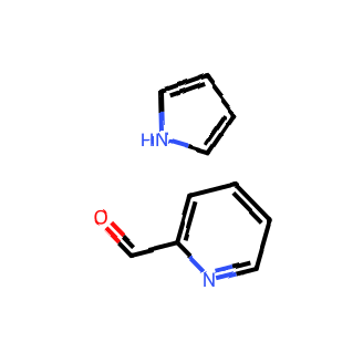 O=Cc1ccccn1.c1cc[nH]c1